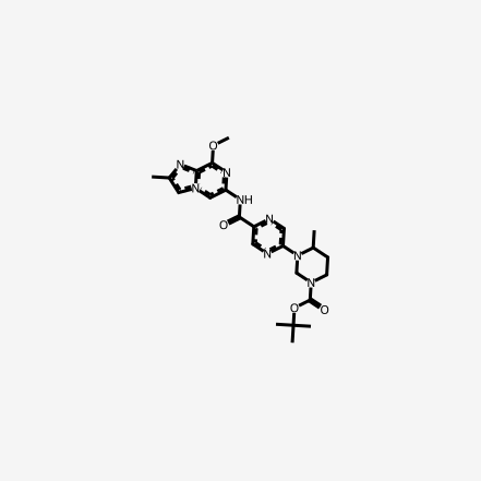 COc1nc(NC(=O)c2cnc(N3CN(C(=O)OC(C)(C)C)CCC3C)cn2)cn2cc(C)nc12